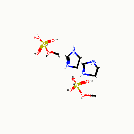 C1=NCCN1.C1=NCCN1.COS(=O)(=O)O.COS(=O)(=O)O